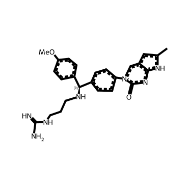 COc1ccc([C@H](NCCCNC(=N)N)c2ccc(-n3cc4cc(C)[nH]c4nc3=O)cc2)cc1